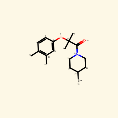 Cc1ccc(OC(C)(C)C(=O)N2CCC(C(C)C)CC2)cc1C